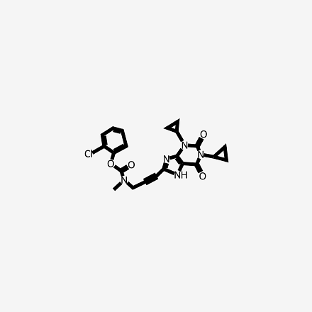 CN(CC#Cc1nc2c([nH]1)c(=O)n(C1CC1)c(=O)n2C1CC1)C(=O)Oc1ccccc1Cl